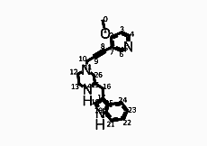 COc1ccncc1C#CCN1CCNC(Cc2c[nH]c3ccccc23)C1